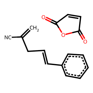 C=C(C#N)CC=Cc1ccccc1.O=C1C=CC(=O)O1